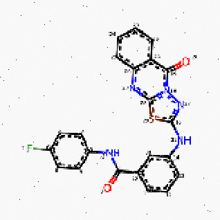 O=C(Nc1ccc(F)cc1)c1cccc(Nc2nn3c(=O)c4ccccc4nc3s2)c1